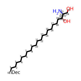 CCCCCCCCCCCCCCCCCCCCCCCCCCCCC[C@@H](O)[C@@H](N)CO